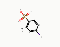 O=S(=O)([O-])c1ccc(I)cc1.[Tl+]